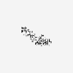 CN(C(=O)OC(C)(C)C)C1CCN(c2ccc(C(F)(F)F)cc2)CC1